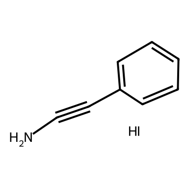 I.NC#Cc1ccccc1